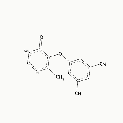 Cc1nc[nH]c(=O)c1Oc1cc(C#N)cc(C#N)c1